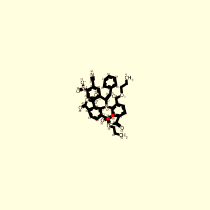 CCCOC(=O)c1ccc2c(c1N(C(=Cc1ccccc1)c1ccc([N+](=O)[O-])c(C#N)c1)c1c(C(=O)OCCC)ccc3c1C(=O)OC3=O)C(=O)OC2=O